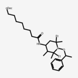 CCCCCCCCCCCCCCCCCC(=O)NC1CC(C)(CC)N(OC(C)c2ccccc2)C(C)(CC)C1C